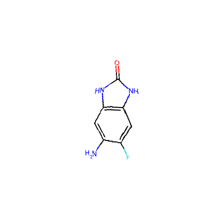 Nc1cc2[nH]c(=O)[nH]c2cc1F